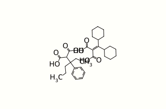 CCCC(CC)(c1ccccc1)C(C(=O)O)C(=O)O.O=C(O)C(C(=O)O)=C(C1CCCCC1)C1CCCCC1